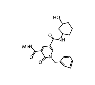 CNC(=O)c1cc(C(=O)N[C@@H]2CCC[C@H](O)C2)cn(Cc2ccccc2)c1=O